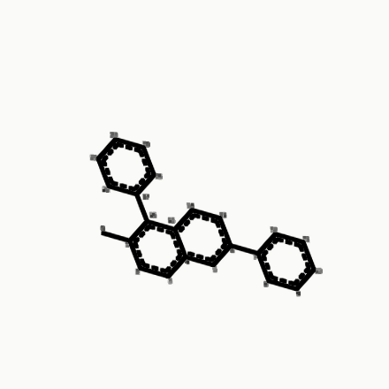 Cc1ccc2cc(-c3ccccc3)ccc2c1-c1ccccc1